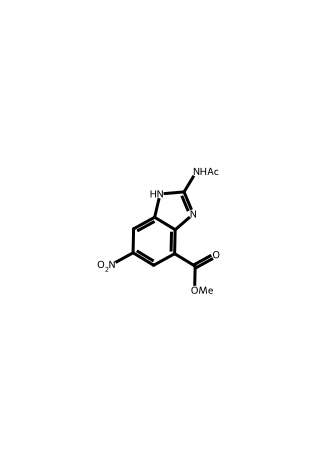 COC(=O)c1cc([N+](=O)[O-])cc2[nH]c(NC(C)=O)nc12